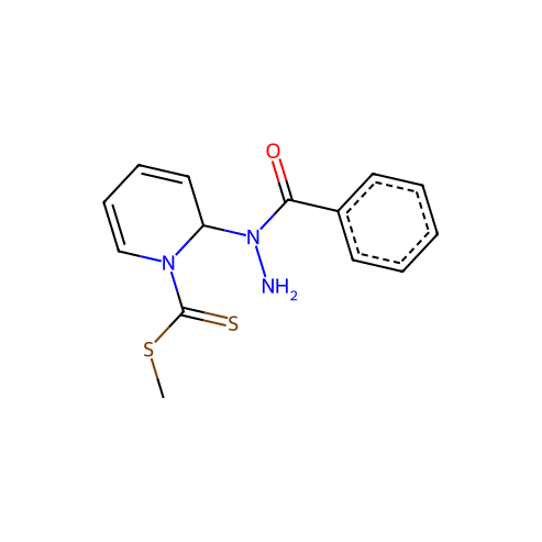 CSC(=S)N1C=CC=CC1N(N)C(=O)c1ccccc1